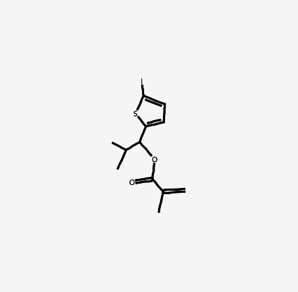 C=C(C)C(=O)OC(c1ccc(I)s1)C(C)C